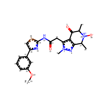 CC1C(=O)c2c(nn(C)c2CC(=O)Nc2nc(-c3cccc(OC(F)(F)F)c3)cs2)C(C)[NH+]1[O-]